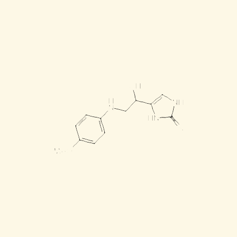 COc1ccc(NCC(O)c2c[nH]c(=S)[nH]2)cc1